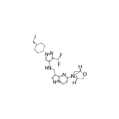 FC(F)c1nn([C@H]2CC[C@H](CI)CC2)cc1NCc1cnn2ccc(N3C[C@H]4C[C@@H]3CO4)nc12